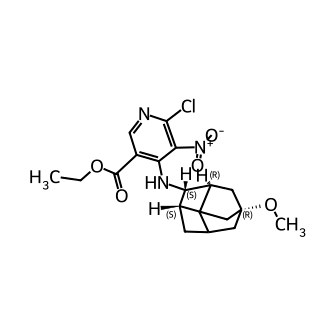 CCOC(=O)c1cnc(Cl)c([N+](=O)[O-])c1N[C@@H]1[C@@H]2CC3C[C@H]1C[C@](OC)(C3)C2